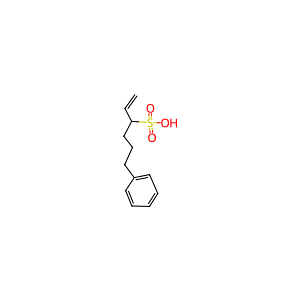 C=CC(CCCc1ccccc1)S(=O)(=O)O